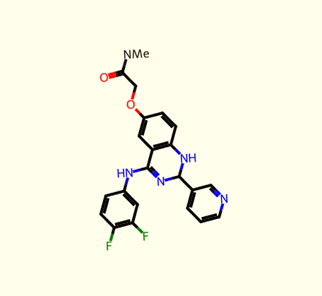 CNC(=O)COc1ccc2c(c1)C(Nc1ccc(F)c(F)c1)=NC(c1cccnc1)N2